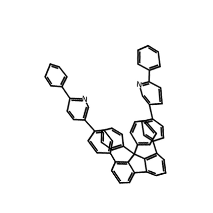 c1ccc(-c2ccc(-c3ccc(-c4cccc5c4C(c4ccccc4)(c4ccccc4)c4c(-c6ccc(-c7ccc(-c8ccccc8)nc7)cc6)cccc4-5)cc3)cn2)cc1